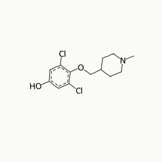 CN1CCC(COc2c(Cl)cc(O)cc2Cl)CC1